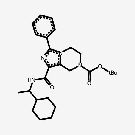 CC(NC(=O)c1nc(-c2ccccc2)n2c1CN(C(=O)OC(C)(C)C)CC2)C1CCCCC1